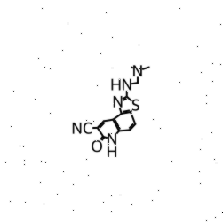 CN(C)CNc1nc2c(ccc3[nH]c(=O)c(C#N)cc32)s1